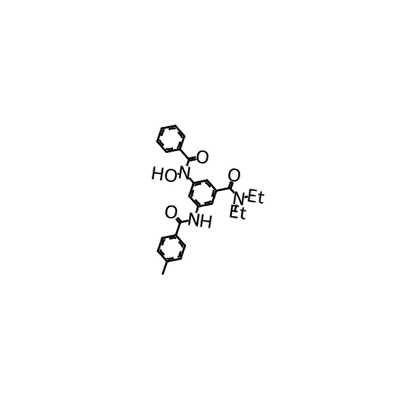 CCN(CC)C(=O)c1cc(NC(=O)c2ccc(C)cc2)cc(N(O)C(=O)c2ccccc2)c1